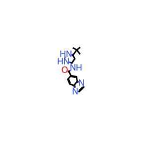 CNC(CC(=N)C(C)(C)C)NC(=O)c1ccc2nccnc2c1